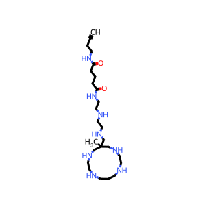 C#CCCNC(=O)CCCC(=O)NCCNCCNCC1(C)CNCCNCCCNCCNC1